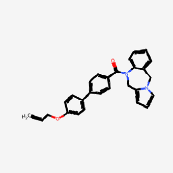 C=CCOc1ccc(-c2ccc(C(=O)N3Cc4cccn4Cc4ccccc43)cc2)cc1